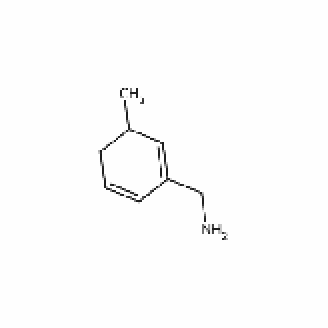 CC1C=C(CN)C=CC1